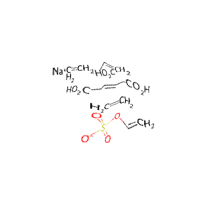 C=C.C=C.C=CC(=O)O.C=COS(=O)(=O)[O-].O=C(O)C=CC(=O)O.[Na+]